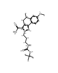 COc1ccc2c(c1)C(C)Cc1c-2nn(CCCNC(=O)OC(C)(C)C)c1C(=O)O